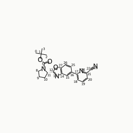 CC(C)(C)OC(=O)N1CCC[C@H]1c1nc2cc(-c3cccc(C#N)n3)ccc2o1